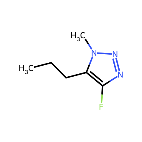 CCCc1c(F)nnn1C